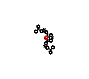 CC1(C)c2ccc(N(c3ccccc3)c3ccccc3)cc2-c2cc(N3c4cccc5c4[Si]4(c6ccccc6)c6c(cccc6N(c6ccc7c(c6)-c6ccc(N(c8ccccc8)c8ccccc8)cc6C7(C)C)c6cccc3c64)O5)ccc21